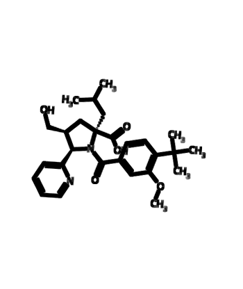 COc1cc(C(=O)N2[C@@H](c3ccccn3)[C@@H](CO)C[C@@]2(CC(C)C)C(=O)O)ccc1C(C)(C)C